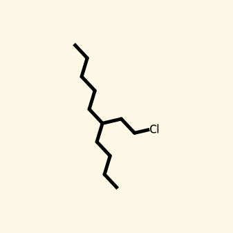 CCCCCC(CCCl)CCCC